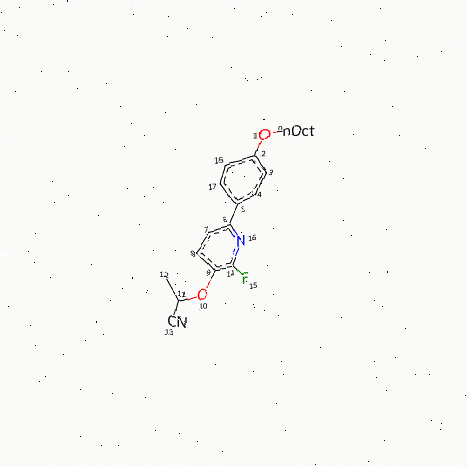 CCCCCCCCOc1ccc(-c2ccc(OC(C)C#N)c(F)n2)cc1